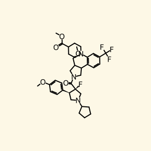 COCC1CN(C(=O)[C@]2(F)CN(C3CCCC3)C[C@H]2c2ccc(OC)cc2)CC1c1ccc(C(F)(F)F)cc1N1CCC(C(=O)OC)CC1